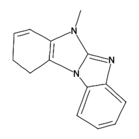 Cn1c2c(n3c4ccccc4nc13)CCC=C2